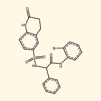 O=C1CCc2cc(S(=O)(=O)NC(C(=O)Nc3ccccc3Br)c3ccccc3)ccc2N1